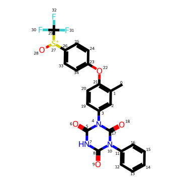 Cc1cc(-n2c(=O)[nH]c(=O)n(-c3ccccc3)c2=O)ccc1Oc1ccc([S+]([O-])C(F)(F)F)cc1